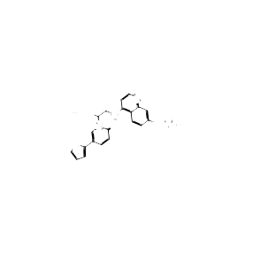 COc1ccc2c(OCC(C)n3cc(-c4cccs4)ccc3=O)ccnc2c1